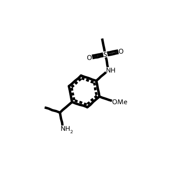 COc1cc(C(C)N)ccc1NS(C)(=O)=O